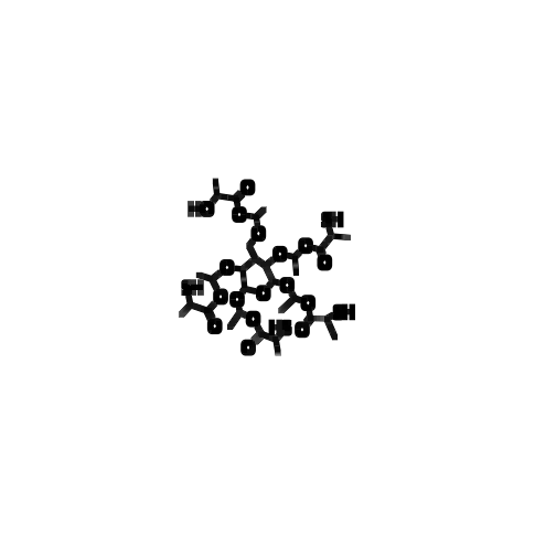 CC(OCC1C(OC(C)OC(=O)C(C)S)C(OC(C)OC(=O)C(C)S)OC(OC(C)OC(=O)C(C)S)C1OC(C)OC(=O)C(C)S)OC(=O)C(C)O